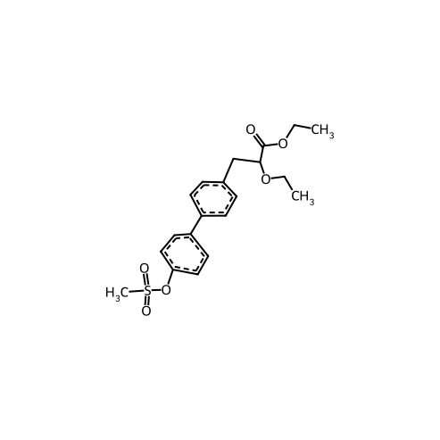 CCOC(=O)C(Cc1ccc(-c2ccc(OS(C)(=O)=O)cc2)cc1)OCC